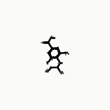 COC(=O)c1cc(N)c(NC(C)CO)c(Br)c1